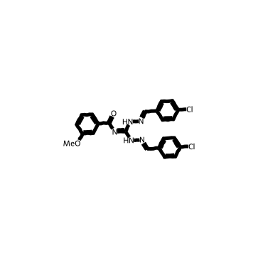 COc1cccc(C(=O)N=C(NN=Cc2ccc(Cl)cc2)NN=Cc2ccc(Cl)cc2)c1